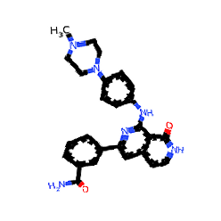 CN1CCN(c2ccc(Nc3nc(-c4cccc(C(N)=O)c4)cc4cc[nH]c(=O)c34)cc2)CC1